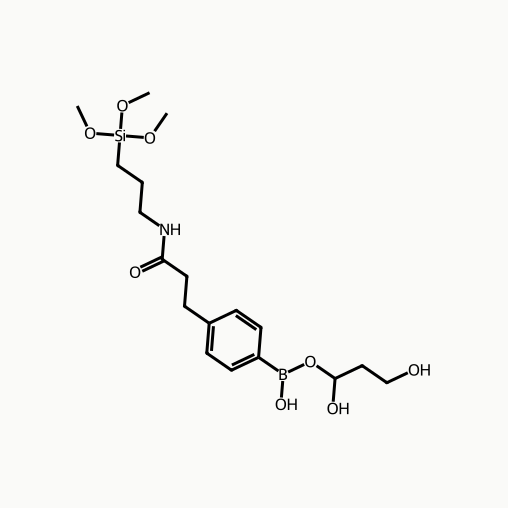 CO[Si](CCCNC(=O)CCc1ccc(B(O)OC(O)CCO)cc1)(OC)OC